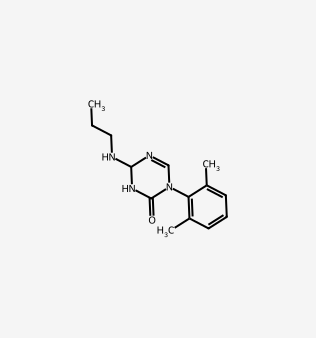 CCCNC1N=CN(c2c(C)cccc2C)C(=O)N1